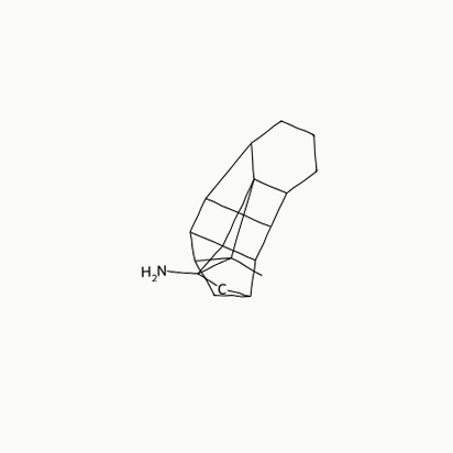 CC12C3CC4CC1(N)C15C4C4C6CCCC7C(C31)C45C672